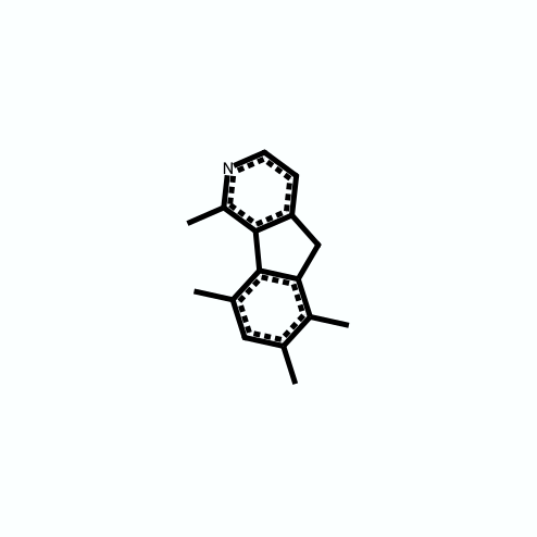 Cc1cc(C)c2c(c1C)Cc1ccnc(C)c1-2